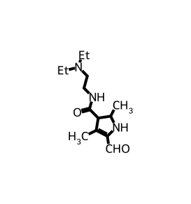 CCN(CC)CCNC(=O)C1C(C)=C(C=O)NC1C